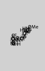 COC(=O)Nc1[nH]c2ccc(Oc3ccc(NC(=O)Nc4cc(C(F)(F)F)ccc4-n4cccn4)cc3)cc2[n+]1[O-]